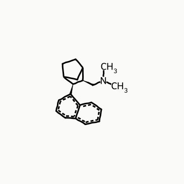 CN(C)C[C@@H]1C2CCC(C2)[C@@H]1c1cccc2ccccc12